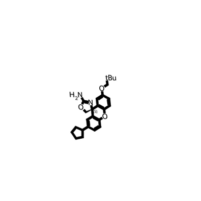 CC(C)(C)COc1ccc2c(c1)[C@]1(COC(N)=N1)c1cc(C3CCCC3)ccc1O2